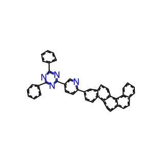 c1ccc(-c2nc(-c3ccccc3)nc(-c3ccc(-c4ccc5c(ccc6c5ccc5ccc7ccccc7c56)c4)nc3)n2)cc1